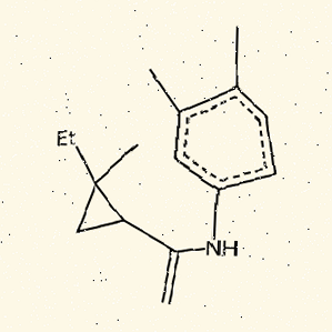 C=C(Nc1ccc(C)c(C)c1)C1CC1(C)CC